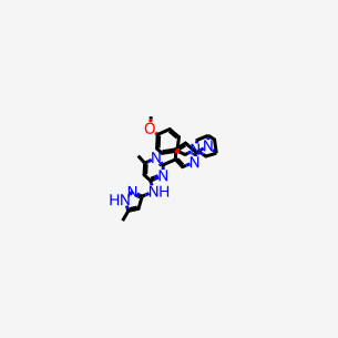 COc1ccc(CN2CC3CC(C2)N3c2ccc(-c3nc(C)cc(Nc4cc(C)[nH]n4)n3)cn2)cc1